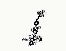 COC(=O)C1=C(CN2CCN3C(=O)N(c4ccc(CCCNS(C)(=O)=O)cc4)C[C@@H]3C2)NC(c2nccs2)=N[C@H]1c1ccc(F)cc1Cl